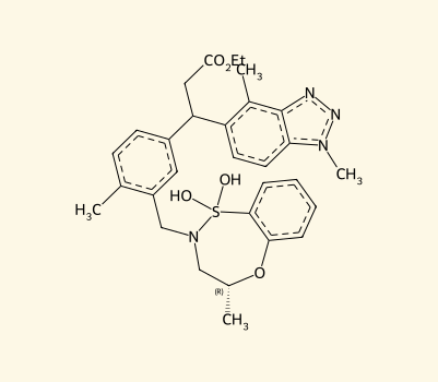 CCOC(=O)CC(c1ccc(C)c(CN2C[C@@H](C)Oc3ccccc3S2(O)O)c1)c1ccc2c(nnn2C)c1C